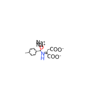 Cc1ccc(C(=O)N[C@@H](CC(=O)[O-])C(=O)[O-])cc1.[Na+].[Na+]